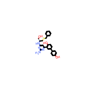 Nc1nc(N[C@H](CO)CSCc2ccccc2)cc(-c2cc(-c3ccc(O)cc3)ccc2O)n1